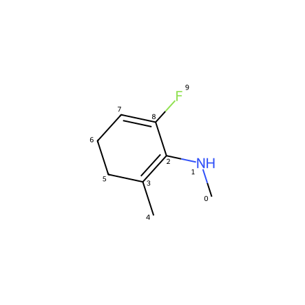 CNC1=C(C)CCC=C1F